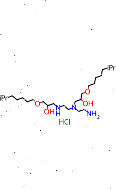 CC(C)CCCCCOCC(O)CNCCN(CCN)CC(O)COCCCCCC(C)C.Cl